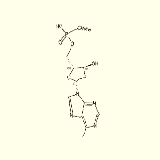 COP(=O)(O)OC[C@H]1O[C@@H](n2cnc3c(C)ncnc32)C[C@@H]1O